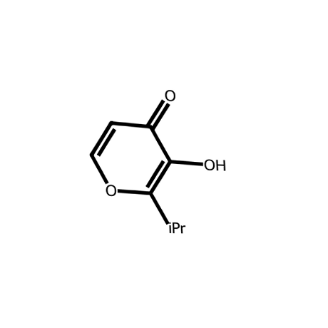 CC(C)c1occc(=O)c1O